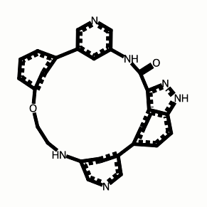 O=C1Nc2cncc(c2)-c2cccc(c2)OCCNc2cncc(c2)-c2ccc3[nH]nc1c3c2